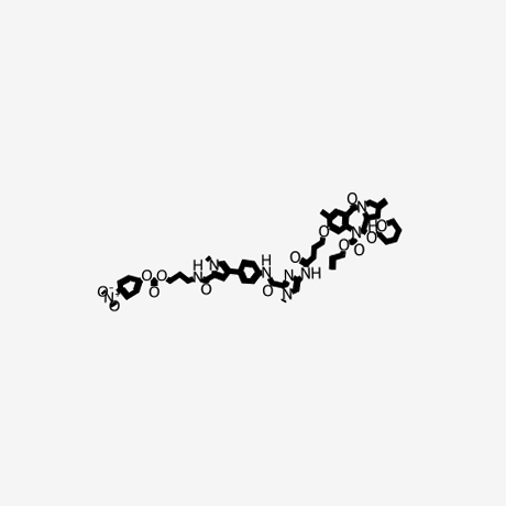 C=CCOC(=O)N1c2cc(OCCCC(=O)Nc3cn(C)c(C(=O)Nc4ccc(-c5cc(C(=O)NCCCOC(=O)Oc6ccc([N+](=O)[O-])cc6)n(C)c5)cc4)n3)c(C)cc2C(=O)N2CC(=C)C[C@H]2C1OC1CCCCO1